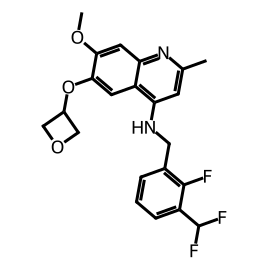 COc1cc2nc(C)cc(NCc3cccc(C(F)F)c3F)c2cc1OC1COC1